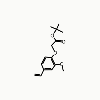 C=Cc1ccc(OCC(=O)OC(C)(C)C)c(OC)c1